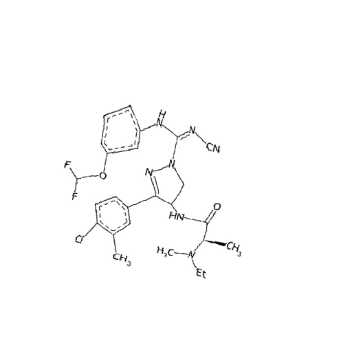 CCN(C)[C@H](C)C(=O)NC1CN(C(=NC#N)Nc2cccc(OC(F)F)c2)N=C1c1ccc(Cl)c(C)c1